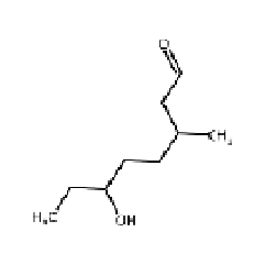 CCC(O)CCC(C)CC=O